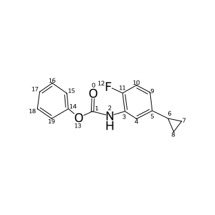 O=C(Nc1cc(C2CC2)ccc1F)Oc1ccccc1